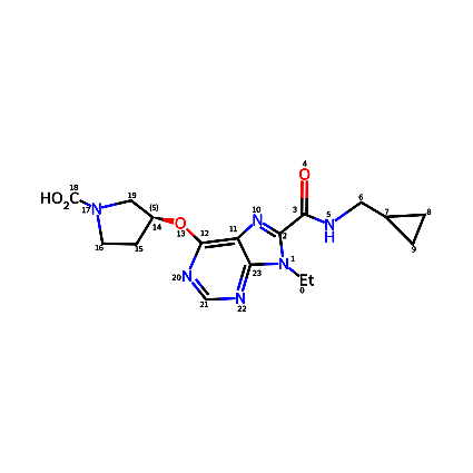 CCn1c(C(=O)NCC2CC2)nc2c(O[C@H]3CCN(C(=O)O)C3)ncnc21